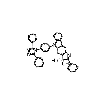 CC1(C)C(c2ccccc2)=Nc2cc3c4ccccc4n(-c4ccc(-n5c(-c6ccccc6)nnc5-c5ccccc5)cc4)c3cc21